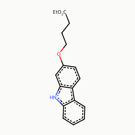 CCOC(=O)CCCOc1ccc2c(c1)[nH]c1ccccc12